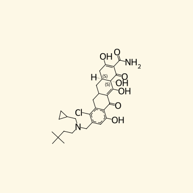 CC(C)(C)CCN(Cc1cc(O)c2c(c1Cl)CC1C[C@H]3CC(O)=C(C(N)=O)C(=O)[C@@]3(O)C(O)=C1C2=O)CC1CC1